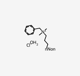 CCCCCCCCCCCC[N+](C)(C)Cc1ccccc1.O.[Cl-]